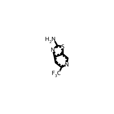 Nc1nc2cc(C(F)(F)F)ncc2s1